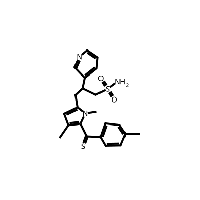 Cc1ccc(C(=S)c2c(C)cc(CC(CS(N)(=O)=O)c3cccnc3)n2C)cc1